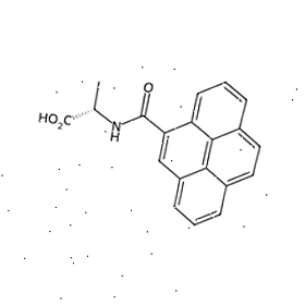 C[C@H](NC(=O)c1cc2cccc3ccc4cccc1c4c32)C(=O)O